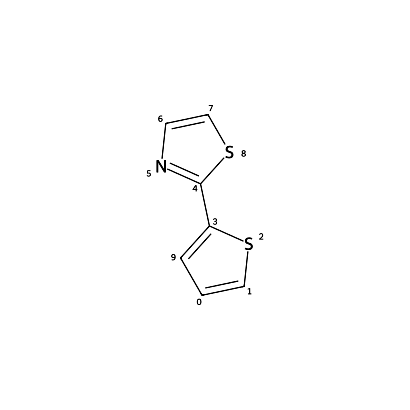 c1csc(-c2nccs2)c1